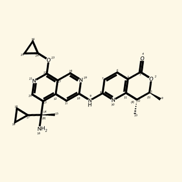 C[C@@H]1OC(=O)c2ccc(Nc3cc4c([C@](C)(N)C5CC5)cnc(OC5CC5)c4cn3)nc2[C@H]1C